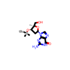 CC(C)(C)[Si](C)(C)O[C@H]1C[C@H](n2cnc3c(=O)[nH]c(N)nc32)O[C@]1(C)CO